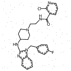 O=C(NCCN1CCC(Nc2nc3ccccc3n2Cc2ccc(F)cc2)CC1)c1cccnc1Cl